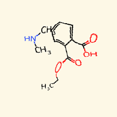 CCOC(=O)c1ccccc1C(=O)O.CNC